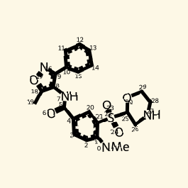 CNc1ccc(C(=O)Nc2c(-c3ccccc3)noc2C)cc1S(=O)(=O)C1CNCCO1